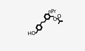 C=C(C)C(=O)OCc1cc(CCc2ccc(CO)cc2)ccc1CCC